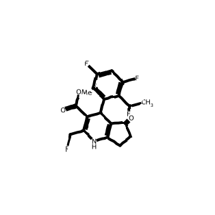 COC(=O)C1=C(CF)NC2=C(C(=O)CC2)C1c1cc(F)cc(F)c1C(C)F